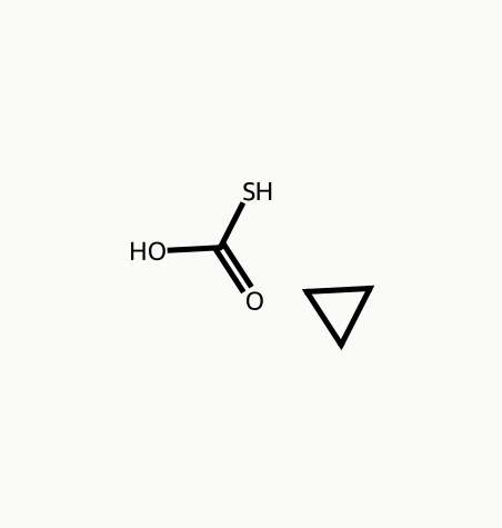 C1CC1.O=C(O)S